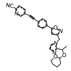 CC(OC1CCCCO1)c1nccn1Cc1cc(-c2ccc(C#Cc3ccc(C#N)nc3)cc2)on1